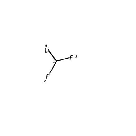 [Li][CH](F)F